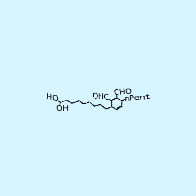 CCCCCC1C=CC(CCCCCCCCC(O)O)C(C=O)C1C=O